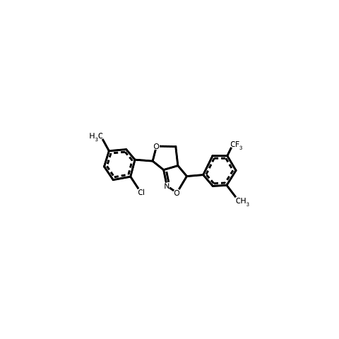 Cc1cc(C2ON=C3C(c4cc(C)ccc4Cl)OCC32)cc(C(F)(F)F)c1